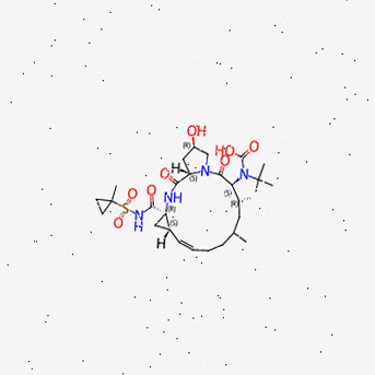 CC1CCC=C[C@@H]2C[C@@]2(C(=O)NS(=O)(=O)C2(C)CC2)NC(=O)[C@@H]2C[C@@H](O)CN2C(=O)[C@@H](N(C(=O)O)C(C)(C)C)[C@H](C)C1